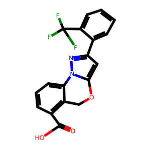 O=C(O)c1cccc2c1COc1cc(-c3ccccc3C(F)(F)F)nn1-2